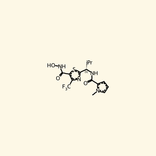 CC(C)[C@H](NC(=O)c1cccn1C)c1nc(C(F)(F)F)c(C(=O)NO)s1